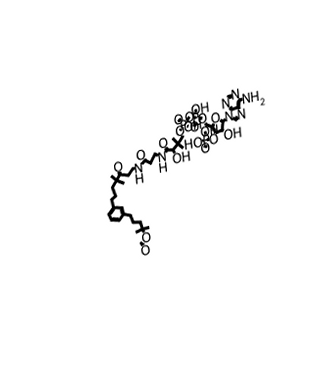 CC(C)(CCCc1cccc(CCCC(C)(C)C(=O)CCNC(=O)CCNC(=O)C(O)C(C)(C)COP(=O)(O)OP(=O)(O)OCC2OC(n3cnc4c(N)ncnc43)C(O)C2OP(=O)(O)O)c1)OC=O